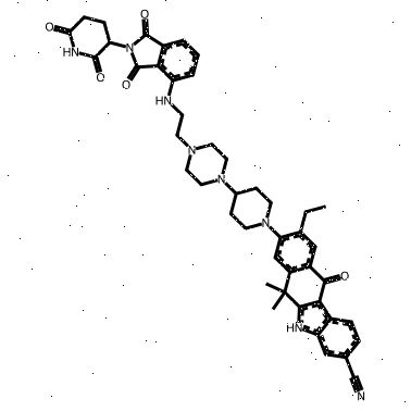 CCc1cc2c(cc1N1CCC(N3CCN(CCNc4cccc5c4C(=O)N(C4CCC(=O)NC4=O)C5=O)CC3)CC1)C(C)(C)c1[nH]c3cc(C#N)ccc3c1C2=O